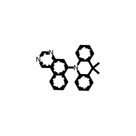 CC1(C)c2ccccc2N(c2cc3ncncc3c3ccccc23)c2ccccc21